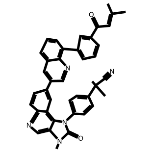 CC(C)=CC(=O)c1cccc(-c2cccc3cc(-c4ccc5ncc6c(c5c4)n(-c4ccc(C(C)(C)C#N)cc4)c(=O)n6C)cnc23)c1